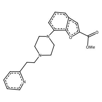 COC(=O)c1cc2cccc(N3CCN(CCc4ccccn4)CC3)c2o1